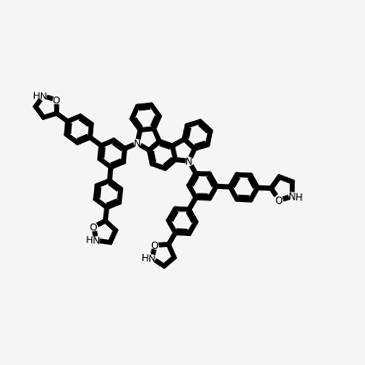 c1ccc2c(c1)c1c3c4ccccc4n(-c4cc(-c5ccc(C6CCNO6)cc5)cc(-c5ccc(C6CCNO6)cc5)c4)c3ccc1n2-c1cc(-c2ccc(C3CCNO3)cc2)cc(-c2ccc(C3CCNO3)cc2)c1